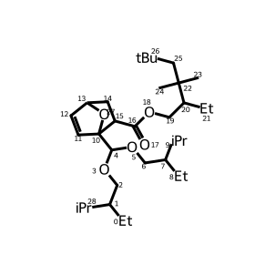 CCC(COC(OCC(CC)C(C)C)C12C=CC(CC1C(=O)OCC(CC)C(C)(C)CC(C)(C)C)O2)C(C)C